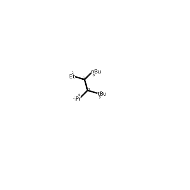 CCCCC(CC)C([C](C)C)C(C)(C)C